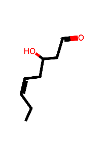 CC/C=C\CC(O)C[C]=O